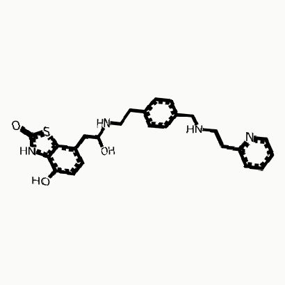 O=c1[nH]c2c(O)ccc(CC(O)NCCc3ccc(CNCCc4ccccn4)cc3)c2s1